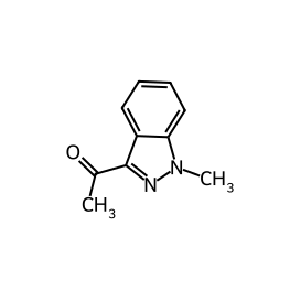 CC(=O)c1nn(C)c2ccccc12